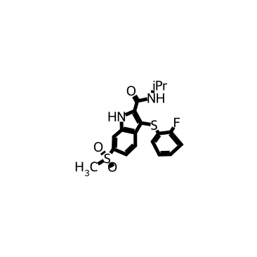 CC(C)NC(=O)c1[nH]c2cc(S(C)(=O)=O)ccc2c1Sc1ccccc1F